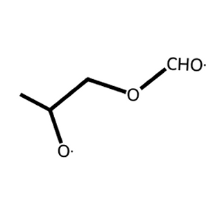 CC([O])CO[C]=O